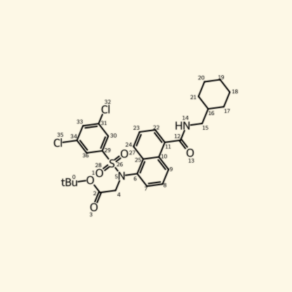 CC(C)(C)OC(=O)CN(c1cccc2c(C(=O)NCC3CCCCC3)cccc12)S(=O)(=O)c1cc(Cl)cc(Cl)c1